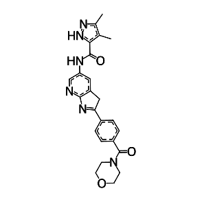 Cc1n[nH]c(C(=O)Nc2cnc3c(c2)CC(c2ccc(C(=O)N4CCOCC4)cc2)=N3)c1C